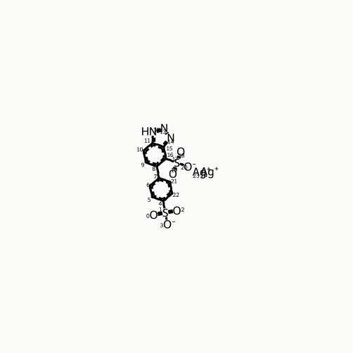 O=S(=O)([O-])c1ccc(-c2ccc3[nH]nnc3c2S(=O)(=O)[O-])cc1.[Ag+].[Ag+]